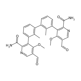 COc1c(C=O)cnc(C(N)=O)c1-c1cccc(-c2cccc(-c3c(C(N)=O)ncc(C=O)c3OC)c2C)c1C